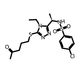 CCn1c(SCCCC(C)=O)nnc1[C@@H](C)NS(=O)(=O)c1ccc(Cl)cc1